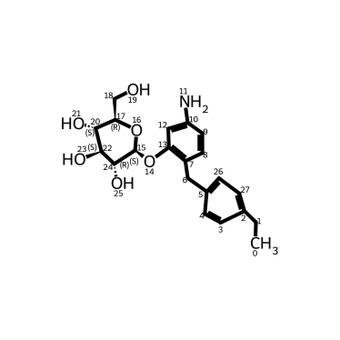 CCc1ccc(Cc2ccc(N)cc2O[C@@H]2O[C@H](CO)[C@@H](O)[C@H](O)[C@H]2O)cc1